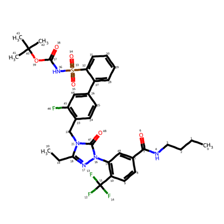 CCCCNC(=O)c1ccc(C(F)(F)F)c(-n2nc(CC)n(Cc3ccc(-c4ccccc4S(=O)(=O)NC(=O)OC(C)(C)C)cc3F)c2=O)c1